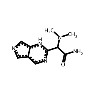 CN(C)C(C(N)=O)c1ncc2cncc-2[nH]1